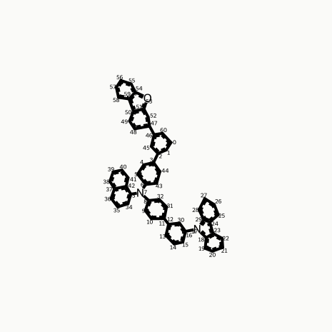 c1cc(-c2ccc(N(c3ccc(-c4cccc(-n5c6ccccc6c6ccccc65)c4)cc3)c3cccc4ccccc34)cc2)cc(-c2ccc3c(c2)oc2ccccc23)c1